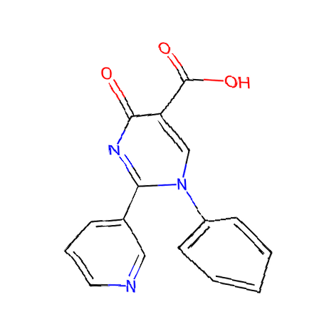 O=C(O)c1cn(-c2ccccc2)c(-c2cccnc2)nc1=O